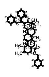 C[C@@H]1[C@H]2C3=CC[C@H]4[C@]5(C)Cc6c(nc7ccccc7c6Oc6ccccc6)C(C)(C)[C@H]5CC[C@]4(C)[C@]3(C)CC[C@@]2(C(=O)OCc2ccccc2)CC[C@@H]1C